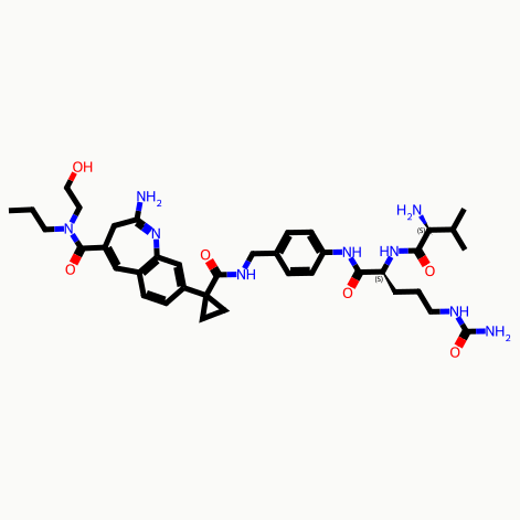 CCCN(CCO)C(=O)C1=Cc2ccc(C3(C(=O)NCc4ccc(NC(=O)[C@H](CCCNC(N)=O)NC(=O)[C@@H](N)C(C)C)cc4)CC3)cc2N=C(N)C1